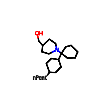 CCCCCC1CCC(C2(N3CCC(CO)CC3)CCCCC2)CC1